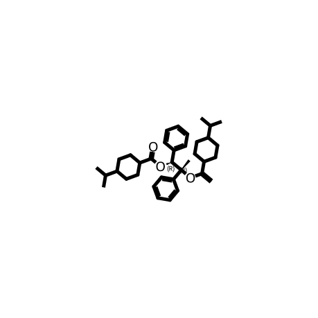 C=C(O[C@](C)(c1ccccc1)[C@H](OC(=O)C1CCC(C(C)C)CC1)c1ccccc1)C1CCC(C(C)C)CC1